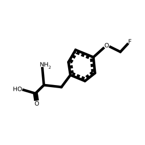 NC(Cc1ccc(OCF)cc1)C(=O)O